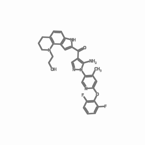 Cc1cc(Oc2c(F)cccc2F)ncc1-n1ncc(C(=O)c2cc3c4c(ccc3[nH]2)CCCN4CCO)c1N